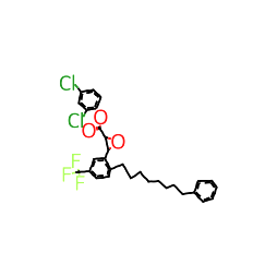 O=C(Oc1ccc(Cl)cc1Cl)C1OC1c1cc(C(F)(F)F)ccc1CCCCCCCCc1ccccc1